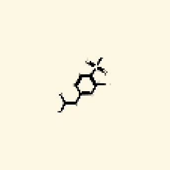 CC(C)Cc1ccc(S(C)(=O)=O)c(F)c1